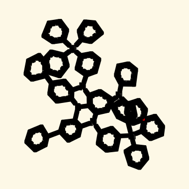 c1ccc(-c2ccc3c(c2)B2c4ccc(-c5ccccc5)cc4N(c4cccc([Si](c5ccccc5)(c5ccccc5)c5ccccc5)c4)c4cc(N(c5ccccc5)c5ccccc5)cc(c42)N3c2cccc([Si](c3ccccc3)(c3ccccc3)c3ccccc3)c2)cc1